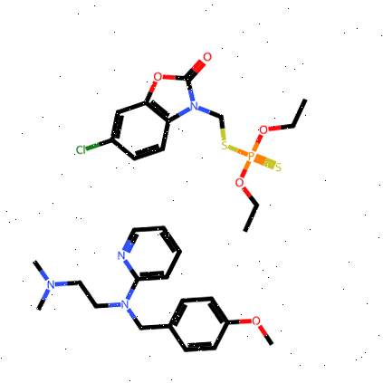 CCOP(=S)(OCC)SCn1c(=O)oc2cc(Cl)ccc21.COc1ccc(CN(CCN(C)C)c2ccccn2)cc1